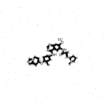 CCOc1cc2ncnc(Nc3ccc(Oc4ccn5cnnc5c4)c(C)c3)c2cc1NC(=O)/C(F)=C/[C@H]1CCCN1C